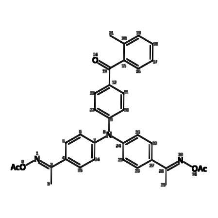 CC(=O)O/N=C(\C)c1ccc(N(c2ccc(C(=O)c3ccccc3C)cc2)c2ccc(/C(C)=N/OC(C)=O)cc2)cc1